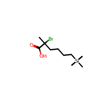 CC(Br)(CCCC[Si](C)(C)C)C(=O)O